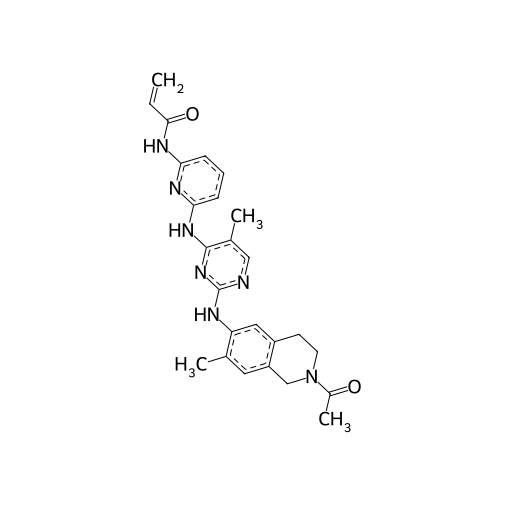 C=CC(=O)Nc1cccc(Nc2nc(Nc3cc4c(cc3C)CN(C(C)=O)CC4)ncc2C)n1